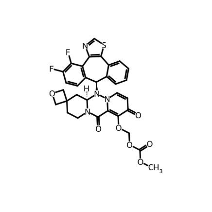 COC(=O)OCOc1c2n(ccc1=O)N([C@@H]1c3ccccc3-c3scnc3-c3c1ccc(F)c3F)[C@@H]1CC3(CCN1C2=O)COC3